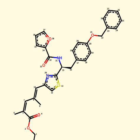 CCOC(=O)/C(C)=C\C(C)=C\c1csc([C@H](Cc2ccc(OCc3ccccc3)cc2)NC(=O)c2ccco2)n1